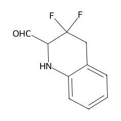 O=CC1Nc2ccccc2CC1(F)F